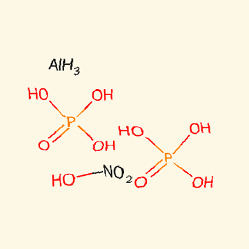 O=P(O)(O)O.O=P(O)(O)O.O=[N+]([O-])O.[AlH3]